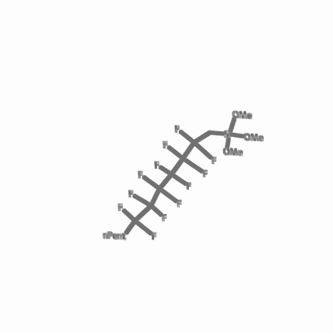 CCCCCC(F)(F)C(F)(F)C(F)(F)C(F)(F)C(F)(F)C(F)(F)C[Si](OC)(OC)OC